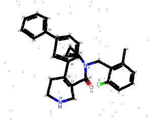 Cc1cccc(Cl)c1CN(C(=O)C1=C(c2cccc(-c3ccccc3)c2)CCNC1)C1=CC1